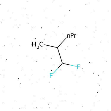 [CH2]C(CCC)C(F)F